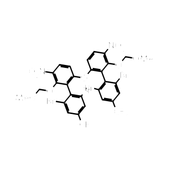 COCOc1c([N+](=O)[O-])ccc(Oc2ccc([N+](=O)[O-])c(OCOC)c2-c2c(Br)cc(C(F)(F)F)cc2Br)c1-c1c(Br)cc(C(F)(F)F)cc1Br